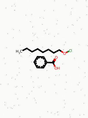 CCCCCCCCOCl.O=C(O)c1ccccc1